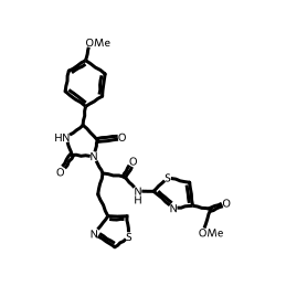 COC(=O)c1csc(NC(=O)C(Cc2cscn2)N2C(=O)NC(c3ccc(OC)cc3)C2=O)n1